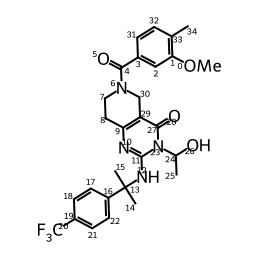 COc1cc(C(=O)N2CCc3nc(NC(C)(C)c4ccc(C(F)(F)F)cc4)n(C(C)O)c(=O)c3C2)ccc1C